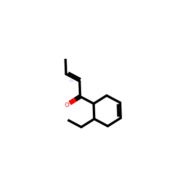 C/C=C/C(=O)C1CC=CCC1CC